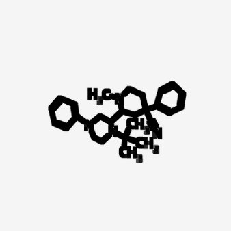 CN1CCC(C#N)(c2ccccc2)CC1C1CN(c2ccccc2)CCN1C(C)(C)C